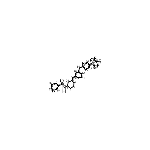 O=C(NC1CCCC(=Cc2cccc(Cc3ccc(S(=O)(=O)C(F)(F)F)cn3)c2)C1)c1cccnc1